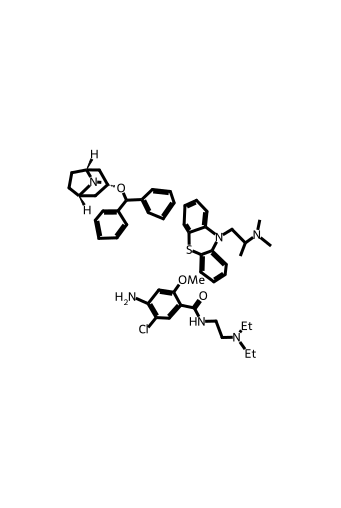 CC(CN1c2ccccc2Sc2ccccc21)N(C)C.CCN(CC)CCNC(=O)c1cc(Cl)c(N)cc1OC.CN1[C@@H]2CC[C@H]1C[C@@H](OC(c1ccccc1)c1ccccc1)C2